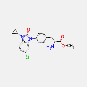 COC(=O)C(N)Cc1ccc(-n2c(=O)n(C3CC3)c3ccc(Cl)cc32)cc1